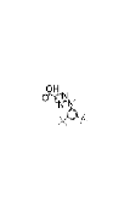 CN(c1cc(C(C)(C)C)cc(C(C)(C)C)c1)c1ncc(C(=O)O)cn1